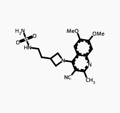 COc1cc2nc(C)c(C#N)c(N3CC(CCNS(N)(=O)=O)C3)c2cc1OC